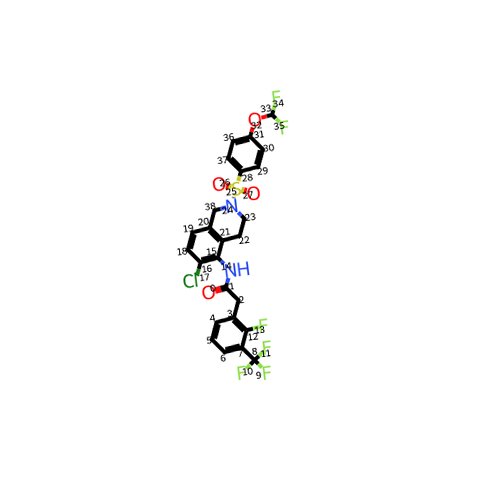 O=C(Cc1cccc(C(F)(F)F)c1F)Nc1c(Cl)ccc2c1CCN(S(=O)(=O)c1ccc(OC(F)F)cc1)C2